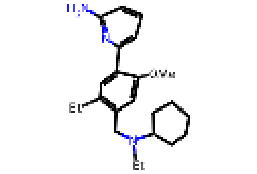 CCc1cc(-c2cccc(N)n2)c(OC)cc1CN(CC)C1CCCCC1